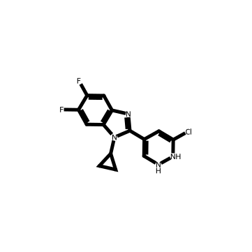 Fc1cc2nc(C3=CNNC(Cl)=C3)n(C3CC3)c2cc1F